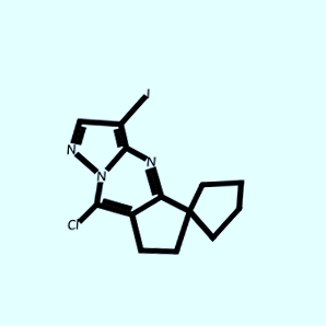 Clc1c2c(nc3c(I)cnn13)C1(CCCC1)CC2